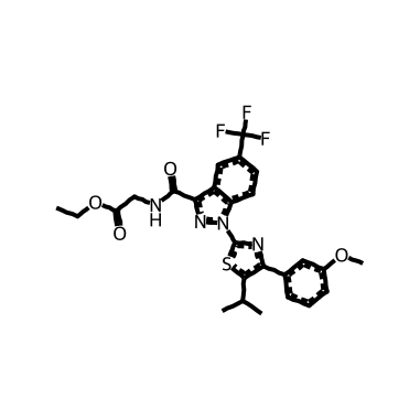 CCOC(=O)CNC(=O)c1nn(-c2nc(-c3cccc(OC)c3)c(C(C)C)s2)c2ccc(C(F)(F)F)cc12